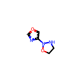 [c]1nc(N2NCCO2)co1